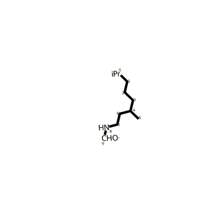 CC(C)CCCC(C)CCN[C]=O